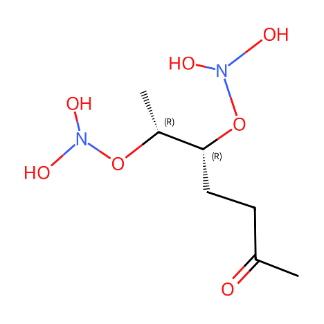 CC(=O)CC[C@@H](ON(O)O)[C@@H](C)ON(O)O